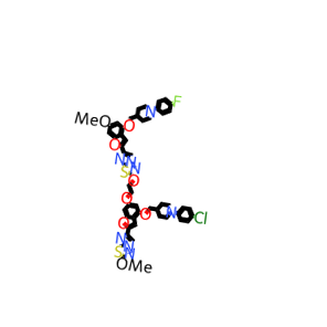 COc1cc(OCC2CCN(c3ccc(F)cc3)CC2)c2cc(-c3cn4nc(OCCOc5cc(OCC6CCN(c7ccc(Cl)cc7)CC6)c6cc(-c7cn8nc(OC)sc8n7)oc6c5)sc4n3)oc2c1